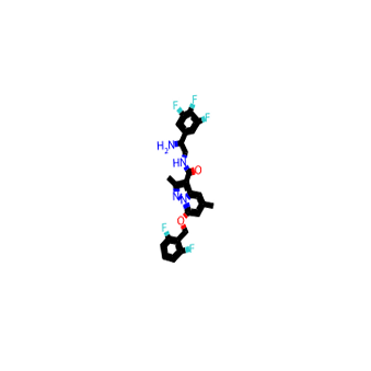 Cc1cc(OCc2c(F)cccc2F)n2nc(C)c(C(=O)NCC(N)c3cc(F)c(F)c(F)c3)c2c1